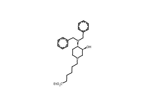 CCOC(=O)CCCCCN1CC[C@@H](N(Cc2ccccc2)Cc2ccccc2)[C@@H](O)C1